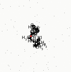 CCC(C)(CCOC(C)(CC)CCNC(=O)C[C@@H]1N=C(c2ccc(Cl)cc2)c2c(sc(C)c2C)-n2c(C)nnc21)NC(=O)COc1cccc2c1C(=O)N(C1CCC(=O)NC1=O)C2=O